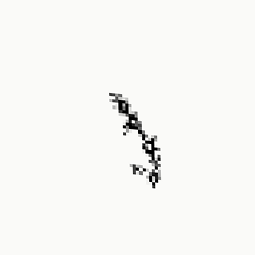 OC[C@@H]1CCCN1CCOc1ccc(C#Cc2ncc(-c3ccc(Cl)cc3)cc2Cl)cc1